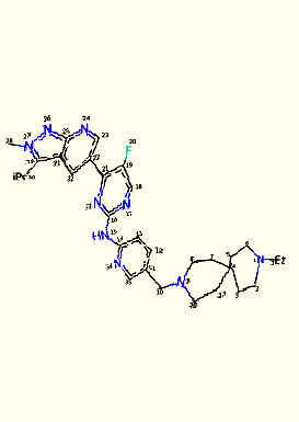 CCN1CCC2(CC1)CCN(Cc1ccc(Nc3ncc(F)c(-c4cnc5nn(C)c(C(C)C)c5c4)n3)nc1)CC2